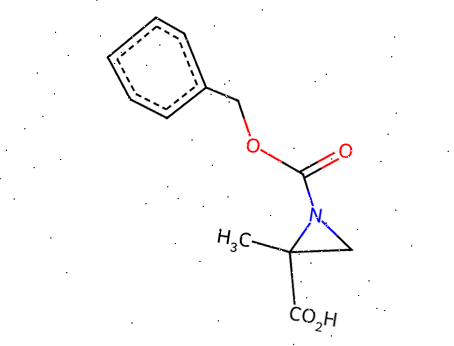 CC1(C(=O)O)CN1C(=O)OCc1ccccc1